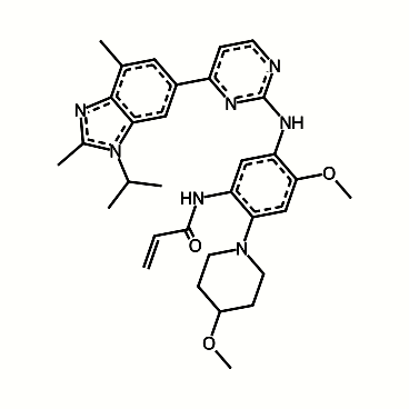 C=CC(=O)Nc1cc(Nc2nccc(-c3cc(C)c4nc(C)n(C(C)C)c4c3)n2)c(OC)cc1N1CCC(OC)CC1